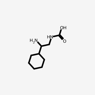 NC(CNC(=O)O)C1CCCCC1